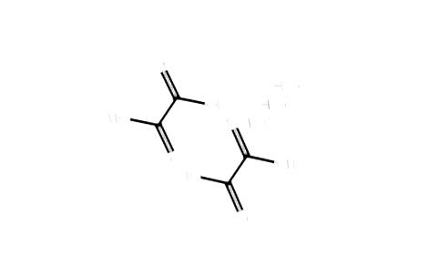 O.O.O.O=C(O)C(=O)O.O=C(O)C(=O)O.[K]